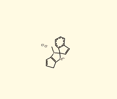 CP1C2=[C](CC=C2)[Hf+2][C]12C=Cc1ccccc12.[Cl-].[Cl-]